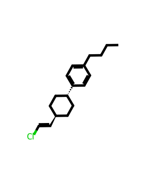 CCCCc1ccc([C@H]2CC[C@H](/C=C/Cl)CC2)cc1